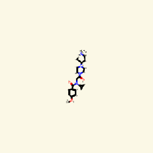 CCOc1ccc(C(=O)N(CC(=O)N2CCN(C3CCN(C)CC3)CC2)C2CC2)cc1